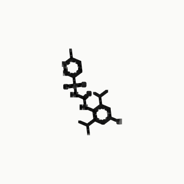 Cc1ccc(S(=O)(=O)NC(=O)Nc2c(C(C)C)cc(Cl)cc2C(C)C)nn1